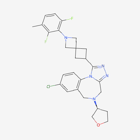 Cc1ccc(F)c(N2CC3(CC(c4nnc5n4-c4ccc(Cl)cc4CN([C@H]4CCOC4)C5)C3)C2)c1F